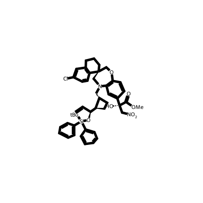 C=C[C@H](O[Si](c1ccccc1)(c1ccccc1)C(C)(C)C)[C@@H]1CC[C@H]1CN1C[C@@]2(CCCc3cc(Cl)ccc32)COc2ccc([C@](O)(C[N+](=O)[O-])C(=O)OC)cc21